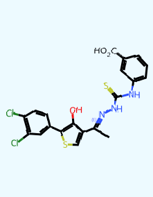 C/C(=N\NC(=S)Nc1cccc(C(=O)O)c1)c1csc(-c2ccc(Cl)c(Cl)c2)c1O